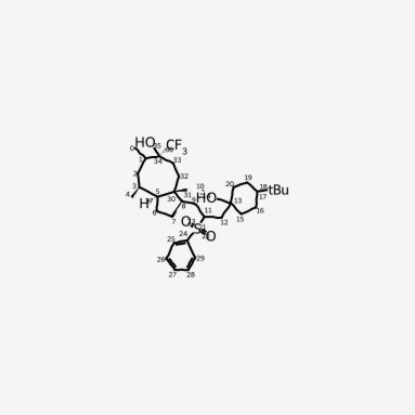 CC1C[C@H](C)[C@@H]2CC[C@H]([C@H](C)C(CC3(O)CCC(C(C)(C)C)CC3)S(=O)(=O)c3ccccc3)[C@@]2(C)CC[C@@]1(O)C(F)(F)F